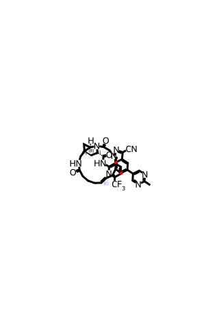 Cc1ncc(-c2cc3c4c(c2)c(C#N)nn4CC(=O)N2[C@H](C(=O)Nc4nc(C(F)(F)F)ccc4C)C[C@@]4(CNC(=O)CCC/C=C/C3)C[C@@H]24)cn1